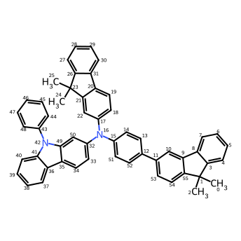 CC1(C)c2ccccc2-c2cc(-c3ccc(N(c4ccc5c(c4)C(C)(C)c4ccccc4-5)c4ccc5c6ccccc6n(-c6ccccc6)c5c4)cc3)ccc21